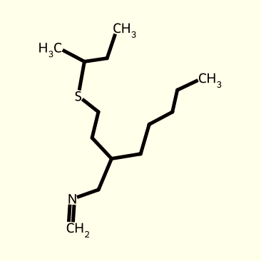 C=NCC(CCCCC)CCSC(C)CC